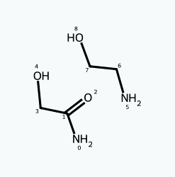 NC(=O)CO.NCCO